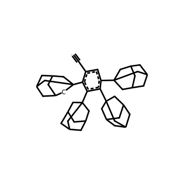 [C]#Cc1cc(C23CC4CC(CC(C4)C2)C3)c(C23CC4CC(CC(C4)C2)C3)c(C23CC4CC(CC(C4)C2)C3)c1C12CC3CC(CC(C3)C1)C2